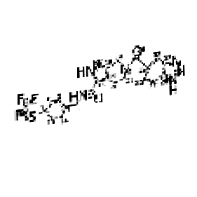 O=C(NCc1ccc(SC(F)(F)F)cc1)c1[nH]nc2c1CCN(C(=O)c1ccc3[nH]nnc3c1)C2